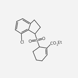 CCOC(=O)C1=CCCCC1S(=O)(=O)C1CCc2cccc(Cl)c21